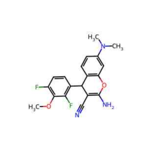 COc1c(F)ccc(C2C(C#N)=C(N)Oc3cc(N(C)C)ccc32)c1F